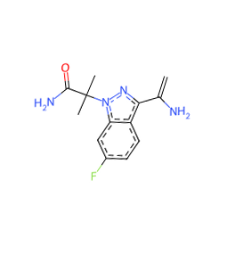 C=C(N)c1nn(C(C)(C)C(N)=O)c2cc(F)ccc12